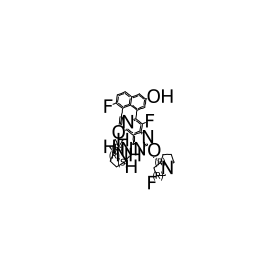 C#Cc1c(F)ccc2cc(O)cc(-c3nc4c5c(nc(OC[C@]67CCCN6C[C@H](F)C7)nc5c3F)N3C[C@@H]5CC[C@@H](N5)[C@@H]3CO4)c12